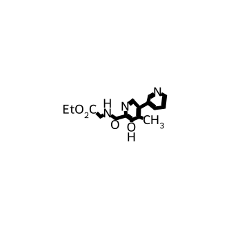 CCOC(=O)CNC(=O)c1ncc(-c2cccnc2)c(C)c1O